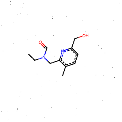 CCN(C=O)Cc1nc(CO)ccc1C